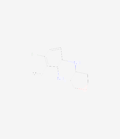 COc1c(Br)ccc(NC2CCOCC2)c1N